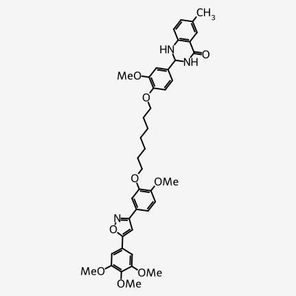 COc1cc(C2NC(=O)c3cc(C)ccc3N2)ccc1OCCCCCCCOc1cc(-c2cc(-c3cc(OC)c(OC)c(OC)c3)on2)ccc1OC